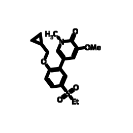 CCS(=O)(=O)c1ccc(OCC2CC2)c(-c2cc(OC)c(=O)n(C)c2)c1